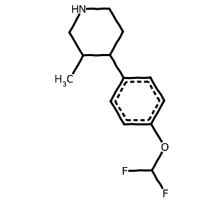 CC1CNCCC1c1ccc(OC(F)F)cc1